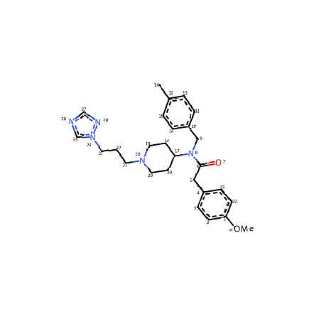 COc1ccc(CC(=O)N(Cc2ccc(C)cc2)C2CCN(CCCn3cncn3)CC2)cc1